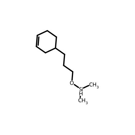 C[SiH](C)OCCCC1CC=CCC1